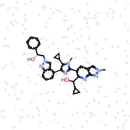 Cn1cc2cc(-c3nc(-c4cccc5nn(C[C@H](O)c6ccccc6)cc45)c(C4CC4)n3C)c(C(O)C3CC3)nc2n1